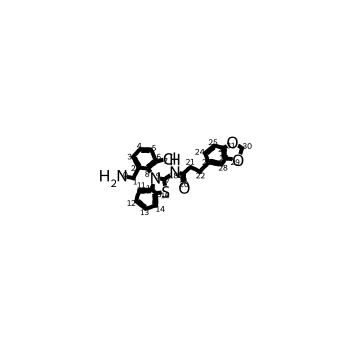 NCc1cccc(Cl)c1N1c2ccccc2SC1NC(=O)CCc1ccc2c(c1)OCO2